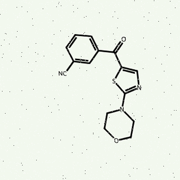 N#Cc1cccc(C(=O)c2cnc(N3CCOCC3)s2)c1